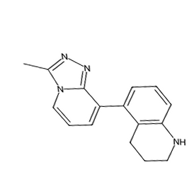 Cc1nnc2c(-c3cccc4c3CCCN4)cccn12